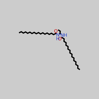 CCCCCCCCCCCCCCCCCC(=O)NC(CC)NC(=O)CCCCCCCCCCCCCCCCC